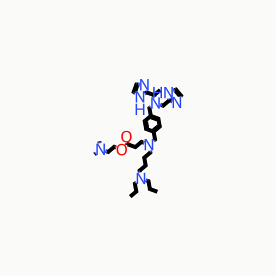 CCCN(CCC)CCCCN(CCC(=O)OCCN(C)C)Cc1ccc(CN(Cc2ncc[nH]2)C(C)c2ncc[nH]2)cc1